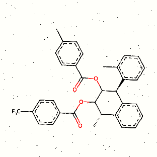 Cc1ccc(C(=O)OC2C(OC(=O)c3ccc(C(F)(F)F)cc3)[C@@H](C)c3ccccc3[C@@H]2c2ccccc2C)cc1